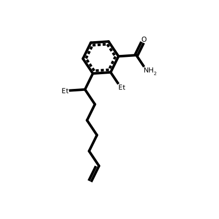 C=CCCCCC(CC)c1cccc(C(N)=O)c1CC